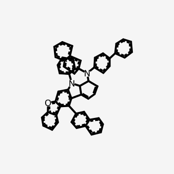 C1=CC(N(c2ccc(-c3ccccc3)cc2)c2ccc3ccccc3c2)C2C(=C1)c1c(cc3oc4ccccc4c3c1-c1ccc3ccccc3c1)N2c1ccccc1